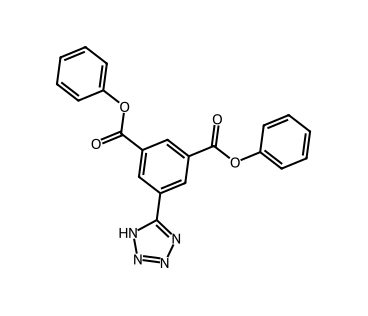 O=C(Oc1ccccc1)c1cc(C(=O)Oc2ccccc2)cc(-c2nnn[nH]2)c1